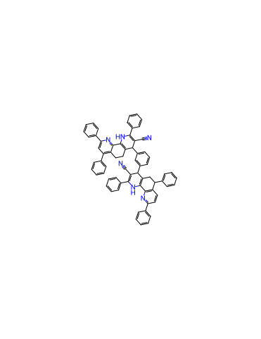 N#CC1=C(c2ccccc2)NC2=C(CC(c3ccccc3)c3ccc(-c4ccccc4)nc32)C1c1cccc(C2C(C#N)=C(c3ccccc3)NC3=C2CCc2c(-c4ccccc4)cc(-c4ccccc4)nc23)c1